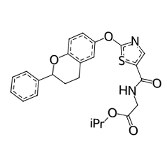 CC(C)OC(=O)CNC(=O)c1cnc(Oc2ccc3c(c2)CCC(c2ccccc2)O3)s1